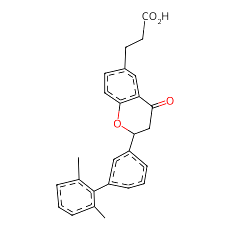 Cc1cccc(C)c1-c1cccc(C2CC(=O)c3cc(CCC(=O)O)ccc3O2)c1